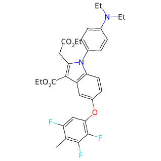 CCOC(=O)Cc1c(C(=O)OCC)c2cc(Oc3cc(F)c(C)c(F)c3F)ccc2n1-c1ccc(N(CC)CC)cc1